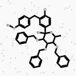 CCOc1ccc(Cc2cc(C3(CC)OC(C)C(OCc4ccccc4)C(OCc4ccccc4)C3OCc3ccccc3)ccc2Cl)cc1